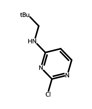 CC(C)(C)CNc1ccnc(Cl)n1